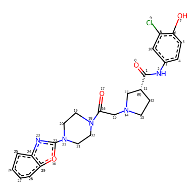 O=C(Nc1ccc(O)c(Cl)c1)[C@@H]1CCN(CC(=O)N2CCN(c3nc4ccccc4o3)CC2)C1